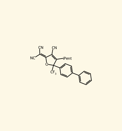 CCCC(C)C1=C(C#N)C(=C(C#N)C#N)OC1(c1ccc(-c2ccccc2)cc1)C(F)(F)F